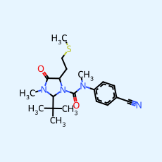 CSCCC1C(=O)N(C)C(C(C)(C)C)N1C(=O)N(C)c1ccc(C#N)cc1